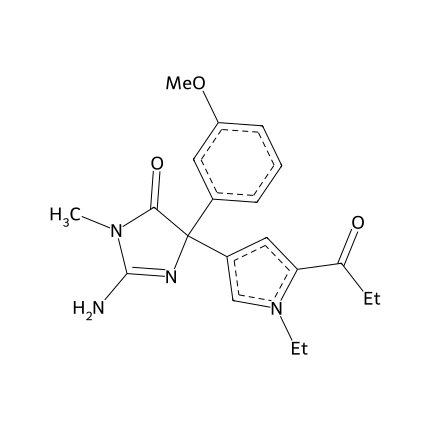 CCC(=O)c1cc(C2(c3cccc(OC)c3)N=C(N)N(C)C2=O)cn1CC